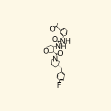 CC(=O)c1cccc(NC(=O)N[C@@H]2CCOC[C@@H]2C(=O)N2CCC[C@@H](Cc3ccc(F)cc3)C2)c1